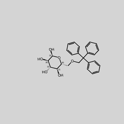 O[C@@H]1[C@@H](O)[C@@H](O)O[C@H](COCC(c2ccccc2)(c2ccccc2)c2ccccc2)[C@H]1O